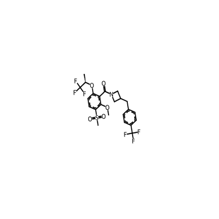 COc1c(S(C)(=O)=O)ccc(O[C@H](C)C(F)(F)F)c1C(=O)N1CC(Cc2ccc(C(F)(F)F)cc2)C1